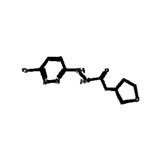 O=C(CC1CCOC1)NNc1ccc(Cl)nn1